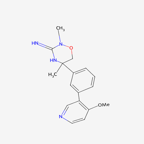 COc1ccncc1-c1cccc(C2(C)CON(C)C(=N)N2)c1